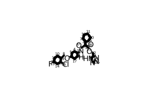 O=C(Nc1ccc(OCc2ccc(F)cc2Cl)cc1)c1c(OCc2nnn[nH]2)oc2ccccc12